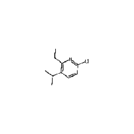 CCc1nc(Cl)ccc1C(C)C